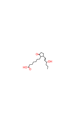 CCCC(O)/C=C/C1CCC(=O)C1CCCCCCC(=O)O